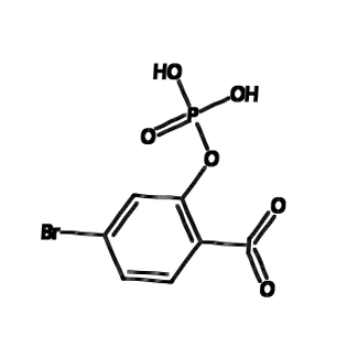 O=I(=O)c1ccc(Br)cc1OP(=O)(O)O